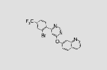 FC(F)(F)c1ccc(-c2cc(Oc3ccc4cccnc4c3)ncn2)c(Br)c1